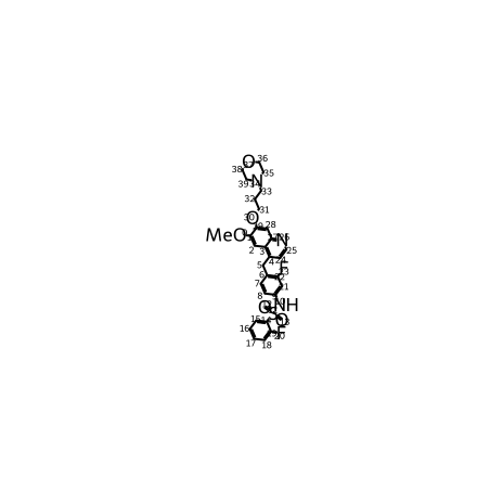 COc1cc2c(Cc3ccc(NS(=O)(=O)c4ccccc4F)cc3F)ccnc2cc1OCCCN1CCOCC1